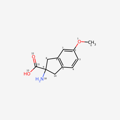 COc1ccc2c(c1)CC(N)(C(=O)O)C2